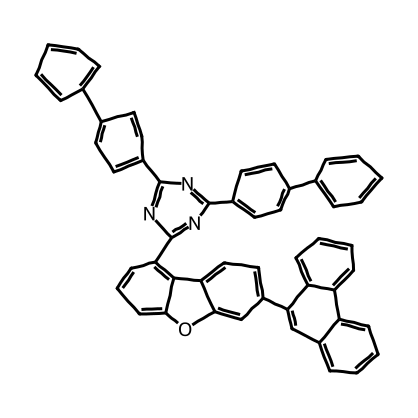 c1ccc(-c2ccc(-c3nc(-c4ccc(-c5ccccc5)cc4)nc(-c4cccc5oc6cc(-c7cc8ccccc8c8ccccc78)ccc6c45)n3)cc2)cc1